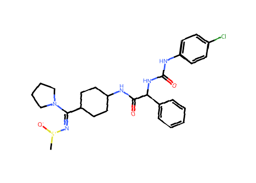 C[S+]([O-])N=C(C1CCC(NC(=O)C(NC(=O)Nc2ccc(Cl)cc2)c2ccccc2)CC1)N1CCCC1